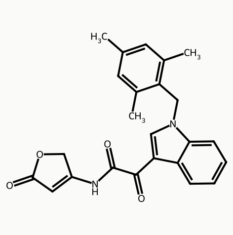 Cc1cc(C)c(Cn2cc(C(=O)C(=O)NC3=CC(=O)OC3)c3ccccc32)c(C)c1